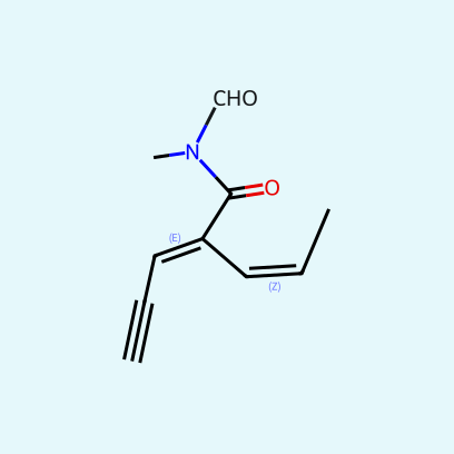 C#C/C=C(\C=C/C)C(=O)N(C)C=O